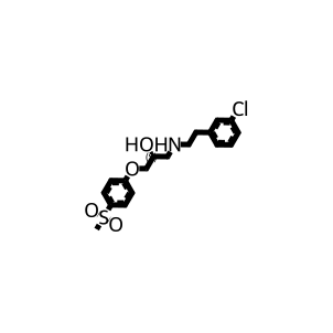 CS(=O)(=O)c1ccc(OC[C@@H](O)CNCCc2cccc(Cl)c2)cc1